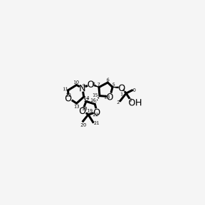 CC(C)(O)O[C@@H]1C[C@H](ON2CCOCC2)C([C@H]2COC(C)(C)O2)O1